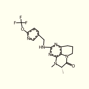 C[C@H]1C(=O)N2CCCc3nc(NCc4ccc(OC(F)(F)F)nc4)nc(c32)N1C